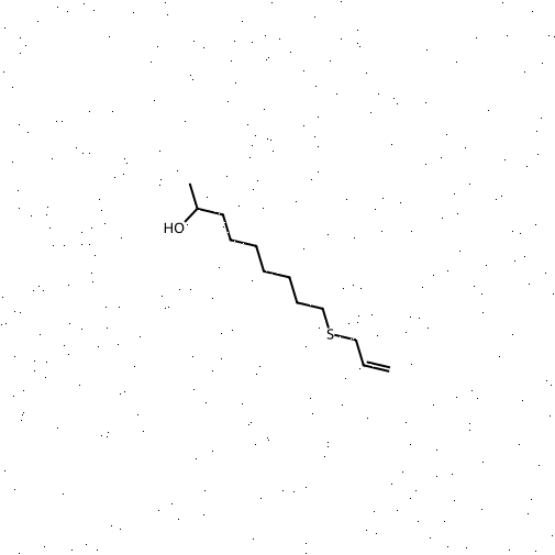 C=CCSCCCCCCCC(C)O